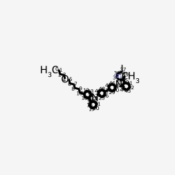 CCCCOCCCCCCc1ccc2c(c1)c1ccccc1n2-c1ccc(-c2ccc(-n3c(/C=C\CI)c(C)c4ccccc43)cc2)cc1